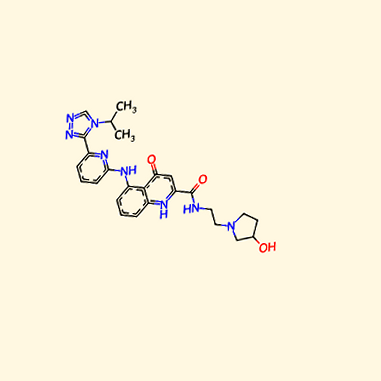 CC(C)n1cnnc1-c1cccc(Nc2cccc3[nH]c(C(=O)NCCN4CCC(O)C4)cc(=O)c23)n1